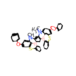 CN1c2cc3c(cc2B2c4ccccc4Sc4cc(Oc5ccccc5)cc1c42)B1c2ccccc2Sc2cc(Oc4ccccc4)cc(c21)N3C